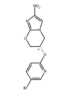 O=[N+]([O-])c1cn2c(n1)OC[C@@H](Oc1ccc(Br)cn1)C2